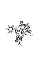 CCOP(=O)(OCC)C(F)(F)C[C@H]1O[C@@H](n2ncnc2C(=O)OC)[C@H](OC(C)=O)[C@@H]1OCc1ccccc1